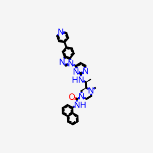 C[C@H](Nc1nccc(-n2cnc3cc(-c4ccncc4)ccc32)n1)[C@@H]1CN(C(=O)Nc2cccc3ccccc23)CCN1C